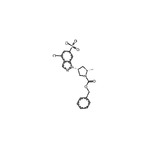 C[C@H]1C[C@@H](n2ncc3c(Cl)cc(S(=O)(=O)Cl)cc32)CN1C(=O)OCc1ccccc1